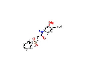 O=C(CCS(=O)(=O)c1ccccc1)Nc1ccc(C(=O)O)c(O)c1